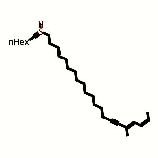 C/C=C\C=C(/C)C#CCCCCCCCCCC/C=C/CC[SH](C)#CCCCCCC